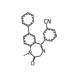 CN1C(=O)CN=C(c2cccc(C#N)c2)c2cc(-c3ccccc3)ccc21